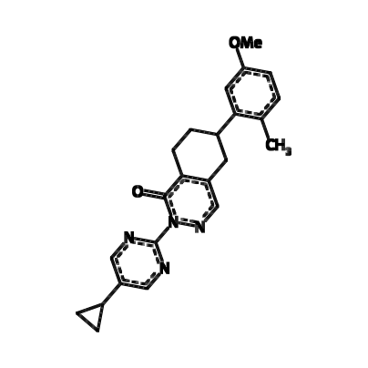 COc1ccc(C)c(C2CCc3c(cnn(-c4ncc(C5CC5)cn4)c3=O)C2)c1